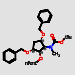 CCCCCO[C@H]1[C@H](N(C)C(=O)OC(C)(C)C)[C@@H](OCc2ccccc2)C[C@H]1OCc1ccccc1